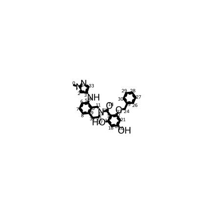 Cn1cc(Nc2cccc3c2CN(C(=O)c2c(O)cc(O)cc2OCc2ccccc2)CC3)cn1